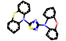 c1ccc2c(c1)Oc1ccccc1N2c1nsc(N2c3ccccc3Sc3ccccc32)n1